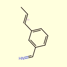 C/C=C/c1cccc(C=N)c1